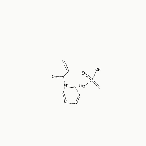 C=CC(=O)[n+]1ccccc1.O=S(=O)(O)O